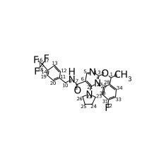 CC(Oc1ncc(C(=O)NCc2ccc(C(F)(F)F)cc2)c(N2CCCC2)n1)c1ccc(F)cc1